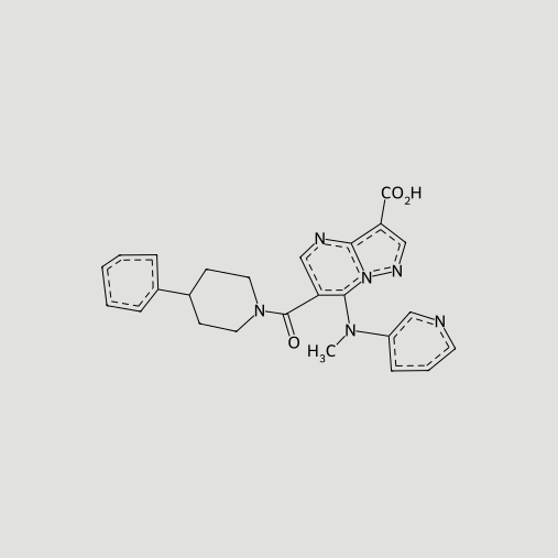 CN(c1cccnc1)c1c(C(=O)N2CCC(c3ccccc3)CC2)cnc2c(C(=O)O)cnn12